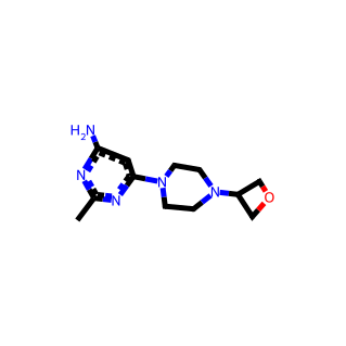 Cc1nc(N)cc(N2CCN(C3COC3)CC2)n1